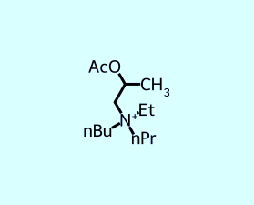 CCCC[N+](CC)(CCC)CC(C)OC(C)=O